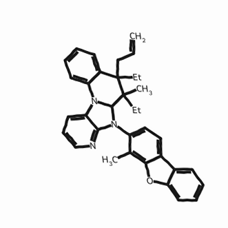 C=CCC1(CC)c2ccccc2N2c3cccnc3N(c3ccc4c(oc5ccccc54)c3C)C2C1(C)CC